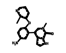 Cc1ncccc1Oc1ccc(N)cc1-c1cn(C)c(=O)c2[nH]ccc12